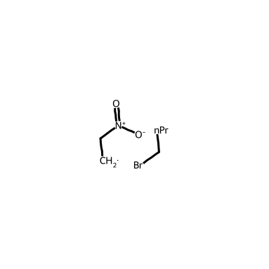 [CH2]CCCBr.[CH2]C[N+](=O)[O-]